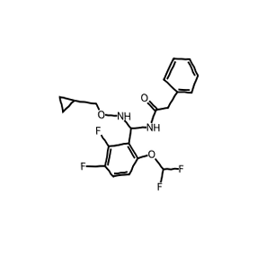 O=C(Cc1ccccc1)NC(NOCC1CC1)c1c(OC(F)F)ccc(F)c1F